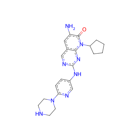 Nc1cc2cnc(Nc3ccc(N4CCNCC4)nc3)nc2n(C2CCCC2)c1=O